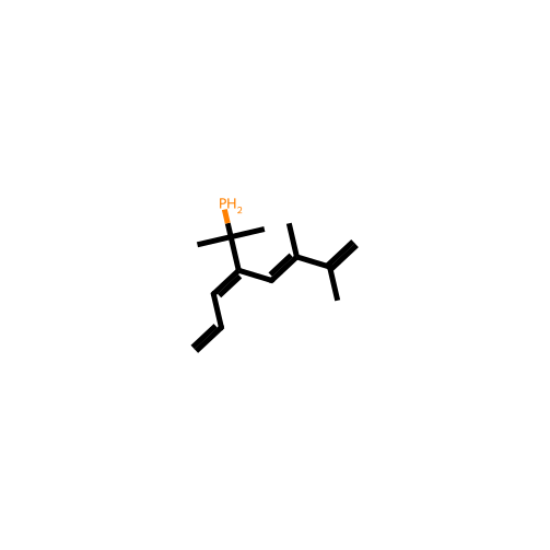 C=C/C=C(\C=C(/C)C(=C)C)C(C)(C)P